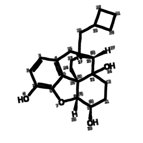 Oc1ccc2c3c1O[C@H]1[C@H](O)CCC4(O)[C@@H](C2)N(CC2CCC2)CC[C@]314